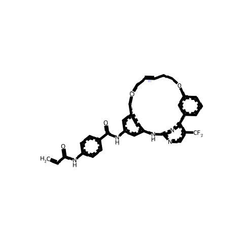 C=CC(=O)Nc1ccc(C(=O)Nc2cc3cc(c2)Nc2ncc(C(F)(F)F)c(n2)-c2cccc(c2)OCC/C=C/COC3)cc1